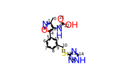 Cc1noc(-c2cccc(CSc3nc[nH]n3)c2)c1NC(=O)O